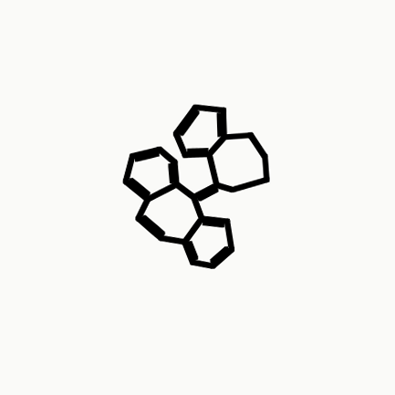 C1=Cc2ccccc2C(=C2CCCCc3ccccc32)c2ccccc21